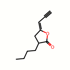 C#CC=C1CC(CCCC)C(=O)O1